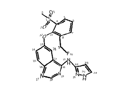 CS(=O)(=O)c1cccc(CF)c1Oc1ccc2ncnc(Nc3cc[nH]n3)c2c1